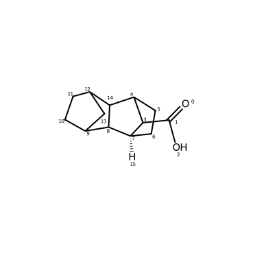 O=C(O)C1C2CC[C@H]1C1C3CCC(C3)C21